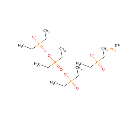 CCP(=O)([O-])CC.CCP(=O)([O-])CC.CCP(=O)([O-])CC.CCP(=O)([O-])CC.P.[Ti+4]